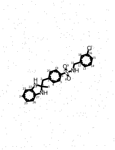 CC1(Cc2ccc(S(=O)(=O)NCc3cccc(Cl)c3)cc2)Nc2ccccc2N1